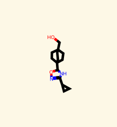 OCC12CCC(C3NC(C4CC4)=NO3)(CC1)CC2